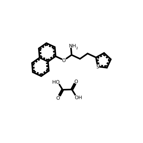 NC(CCc1cccs1)Oc1cccc2ccccc12.O=C(O)C(=O)O